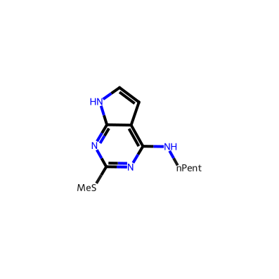 CCCCCNc1nc(SC)nc2[nH]ccc12